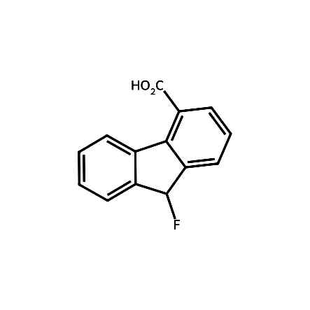 O=C(O)c1cccc2c1-c1ccccc1C2F